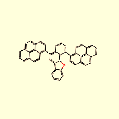 c1cc2ccc3ccc(-c4cc5c6ccccc6oc5c5c(-c6ccc7ccc8cccc9ccc6c7c89)cccc45)c4ccc(c1)c2c34